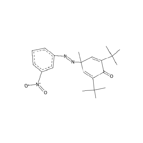 CC1(N=Nc2cccc([N+](=O)[O-])c2)C=C(C(C)(C)C)C(=O)C(C(C)(C)C)=C1